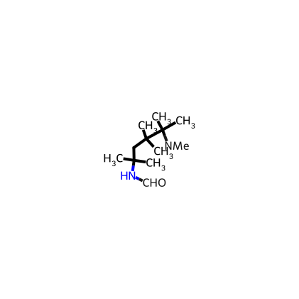 CNC(C)(C)C(C)(C)CC(C)(C)NC=O